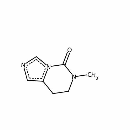 CN1CCc2cncn2C1=O